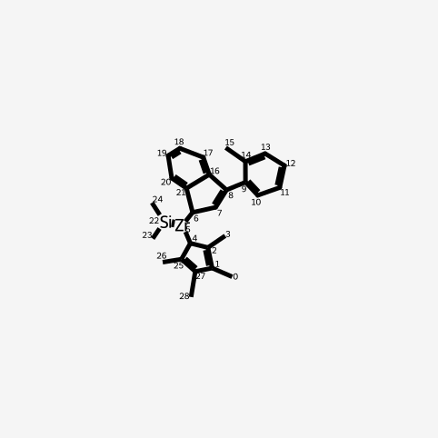 CC1=C(C)[CH]([Zr]([CH]2C=C(c3ccccc3C)c3ccccc32)=[Si](C)C)C(C)=C1C